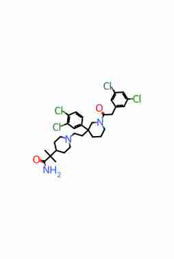 CC(C)(C(N)=O)C1CCN(CCC2(c3ccc(Cl)c(Cl)c3)CCCN(C(=O)Cc3cc(Cl)cc(Cl)c3)C2)CC1